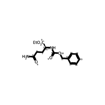 CCOC(=O)[C@H](CCC(N)=O)NC(=O)OCc1ccccc1